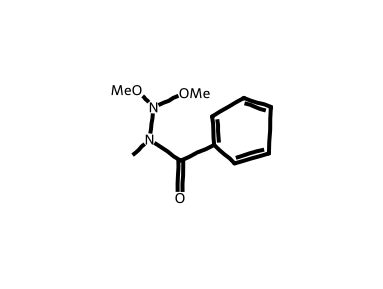 CON(OC)N(C)C(=O)c1ccccc1